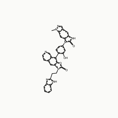 Cn1ncc2cc3[nH]c(=O)n(-c4ccc(-c5c6cnccc6cc6c5oc(=O)n6CCc5nc6ccccc6[nH]5)c(O)c4)c3cc21